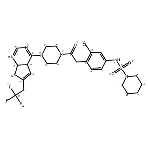 O=C(Cc1ccc(NS(=O)(=O)N2CCCCC2)cc1Cl)N1CCN(C2=NC=NC3SC(CC(F)(F)F)=CC23)CC1